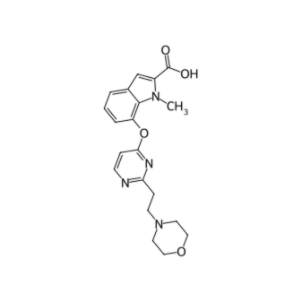 Cn1c(C(=O)O)cc2cccc(Oc3ccnc(CCN4CCOCC4)n3)c21